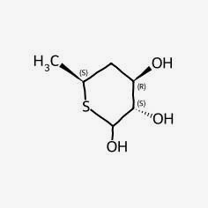 C[C@H]1C[C@@H](O)[C@H](O)C(O)S1